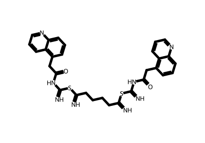 N=C(CCCCC(=N)SC(=N)NC(=O)Cc1cccc2ncccc12)SC(=N)NC(=O)Cc1cccc2ncccc12